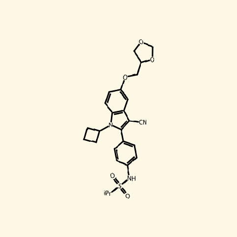 CC(C)S(=O)(=O)Nc1ccc(-c2c(C#N)c3cc(OCC4COCO4)ccc3n2C2CCC2)cc1